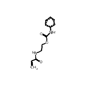 C=CC(=O)NCCOC(=O)Nc1ccccc1